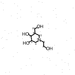 OCCN1CC(O)C(O)C(CO)C1